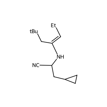 CC/C=C(\CC(C)(C)C)NC(C#N)CC1CC1